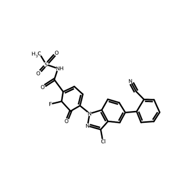 CS(=O)(=O)NC(=O)C1=CC=C(n2nc(Cl)c3cc(-c4ccccc4C#N)ccc32)C(=O)C1F